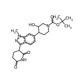 Cn1nc(C2CCC(=O)NC2=O)c2ccc(C3CCN(C(=O)OC(C)(C)C)CC3O)cc21